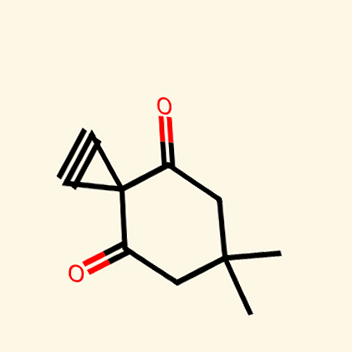 CC1(C)CC(=O)C2(C#C2)C(=O)C1